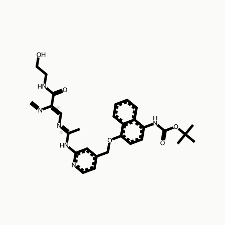 C=N/C(=C\N=C(/C)Nc1cc(COc2ccc(NC(=O)OC(C)(C)C)c3ccccc23)ccn1)C(=O)NCCO